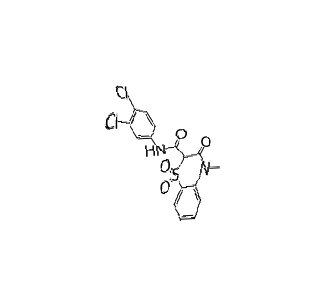 CN1C(=O)C(C(=O)Nc2ccc(Cl)c(Cl)c2)S(=O)(=O)c2ccccc21